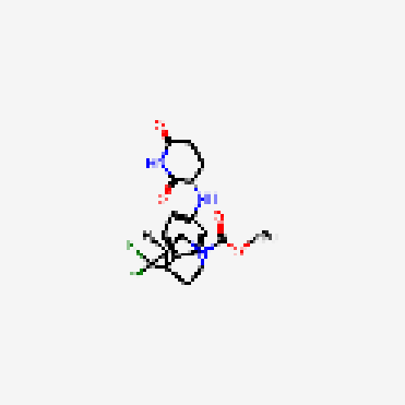 CC(C)(C)OC(=O)N1CC[C@@]2(c3ccc(N[C@H]4CCC(=O)NC4=O)cc3)[C@@H](C1)C2(F)F